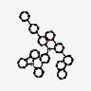 c1ccc(-c2ccc(-c3ccc(N(c4ccc(-c5ccccc5-n5c6ccccc6c6ccccc65)cc4)c4cc(-c5cccc6c5ccc5ccccc56)ccc4-c4ccccc4)cc3)cc2)cc1